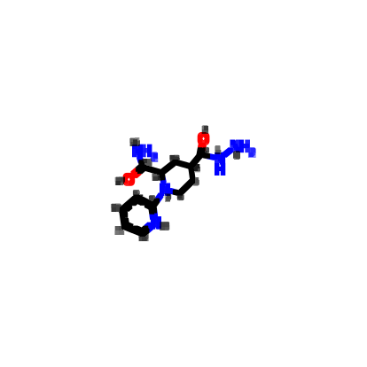 NNC(=O)C1CCN(c2[c]cccn2)C(C(N)=O)C1